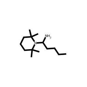 CCCCC(N)N1C(C)(C)CCCC1(C)C